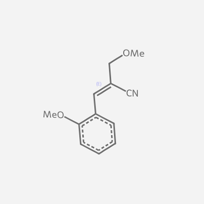 COC/C(C#N)=C/c1ccccc1OC